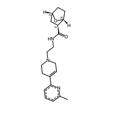 Cc1cccc(C2=CCN(CCNC(=O)[C@H]3C[C@@H]4CC[C@H]3O4)CC2)n1